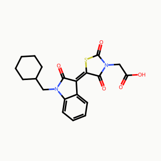 O=C(O)CN1C(=O)S/C(=C2\C(=O)N(CC3CCCCC3)c3ccccc32)C1=O